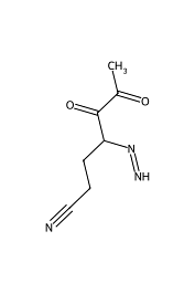 CC(=O)C(=O)C(CCC#N)N=N